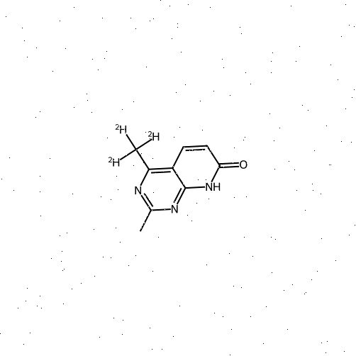 [2H]C([2H])([2H])c1nc(C)nc2[nH]c(=O)ccc12